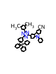 Cc1cc(C)cc(-c2nc(-c3cccc([Si](c4ccccc4)(c4ccccc4)c4ccccc4)c3)nc(-c3ccc4c(c3)c3cc(C#N)ccc3n4-c3ccccc3)n2)c1